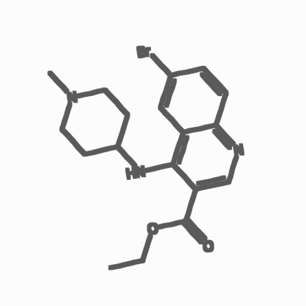 CCOC(=O)c1cnc2ccc(Br)cc2c1NC1CCN(C)CC1